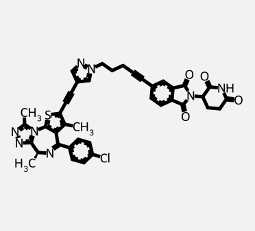 Cc1c(C#Cc2cnn(CCCC#Cc3ccc4c(c3)C(=O)N(C3CCC(=O)NC3=O)C4=O)c2)sc2c1C(c1ccc(Cl)cc1)=N[C@@H](C)c1nnc(C)n1-2